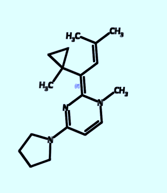 CC(C)=C/C(=C1/N=C(N2CCCC2)C=CN1C)C1(C)CC1